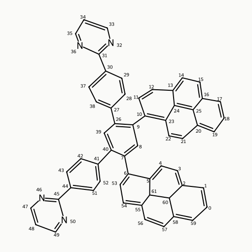 C1=CC2=CC=C3C(c4cc(-c5ccc6ccc7cccc8ccc5c6c78)c(-c5ccc(-c6ncccn6)cc5)cc4-c4ccc(-c5ncccn5)cc4)=CC=C4C=CC(=C1)C2C43